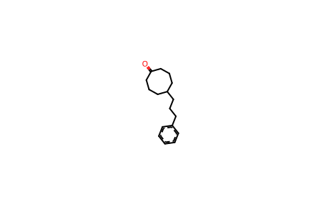 O=C1CCCC(CCCc2ccccc2)CCC1